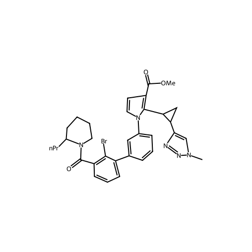 CCCC1CCCCN1C(=O)c1cccc(-c2cccc(-n3ccc(C(=O)OC)c3C3CC3c3cn(C)nn3)c2)c1Br